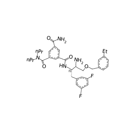 CCCN(CCC)C(=O)c1cc(C(N)=O)cc(C(=O)N[C@@H](Cc2cc(F)cc(F)c2)C(N)COCc2cccc(CC)c2)c1